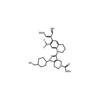 CN/C=C(\C=N)c1cc2c(cc1C(F)F)N(c1nn(C3CCC(CC#N)CC3)c3c1CN(C(=O)NC)CC3)CCC2